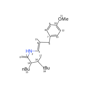 C=C(N/C=C(\C)Cc1ccc(OC)cc1)C(CCCC)C(C)C(C)(C)C